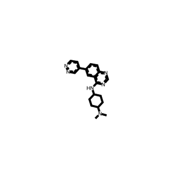 CN(C)C1CCC(Nc2ncnc3ccc(-c4ccnnc4)cc23)CC1